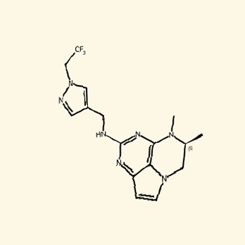 C[C@H]1Cn2ccc3nc(NCc4cnn(CC(F)(F)F)c4)nc(c32)N1C